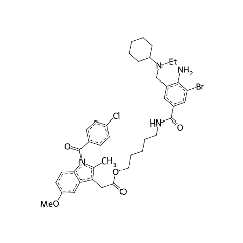 CCN(Cc1cc(C(=O)NCCCCCOC(=O)Cc2c(C)n(C(=O)c3ccc(Cl)cc3)c3ccc(OC)cc23)cc(Br)c1N)C1CCCCC1